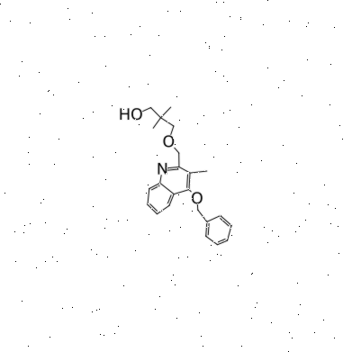 Cc1c(COCC(C)(C)CO)nc2ccccc2c1OCc1ccccc1